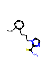 COc1ccccc1CCCn1ccnc1C(N)=S